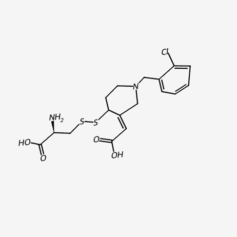 N[C@@H](CSSC1CCN(Cc2ccccc2Cl)C/C1=C/C(=O)O)C(=O)O